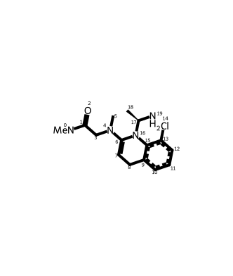 CNC(=O)CN(C)C1=CCc2cccc(Cl)c2N1[C@@H](C)N